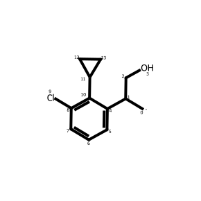 [CH2]C(CO)c1cccc(Cl)c1C1CC1